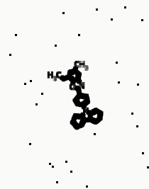 CCc1cc(C)cc2nc(-c3ccc(-n4c5ccccc5c5ccccc54)cc3)oc12